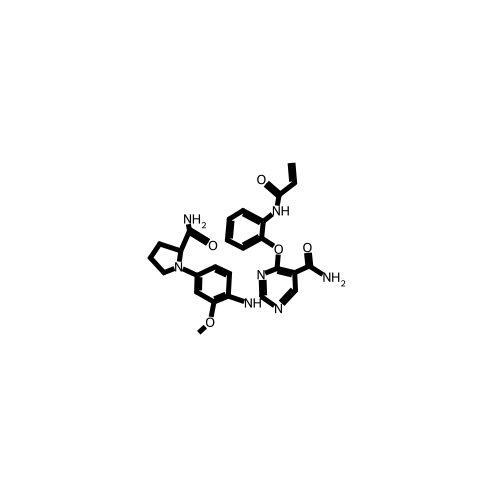 C=CC(=O)Nc1ccccc1Oc1nc(Nc2ccc(N3CCCC3C(N)=O)cc2OC)ncc1C(N)=O